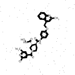 Cc1cc(C(=O)N2CC[C@H](C(=O)Nc3ccc(OCc4cc(C)nc5ccccc45)cc3)[C@@H](C(=O)NO)C2)cc(Cl)n1